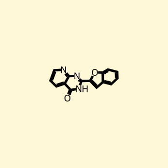 O=c1[nH]c(-c2cc3ccccc3o2)nc2ncccc12